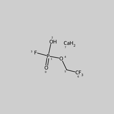 O=P(O)(F)OCC(F)(F)F.[CaH2]